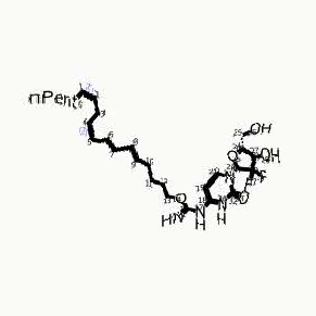 CCCCC/C=C\C/C=C\CCCCCCCCOC(=N)NC1C=CN([C@@H]2O[C@H](CO)[C@@H](O)C2(F)F)C(=O)N1